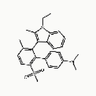 CCn1c(C)c(-c2c(C)ccc(S(C)(=O)=O)c2-c2ccc(N(C)C)cc2)c2ccccc21